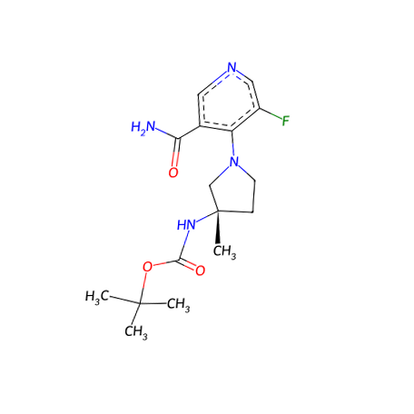 CC(C)(C)OC(=O)N[C@@]1(C)CCN(c2c(F)cncc2C(N)=O)C1